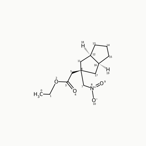 CCOC(=O)C[C@@]1(C[N+](=O)[O-])C[C@H]2CCC[C@H]2C1